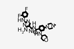 CN1CCN(c2ccc(C(=O)NC(=N)c3cnc(Nc4ccc(F)cc4F)nc3N)c(NC3CCOCC3)c2)CC1